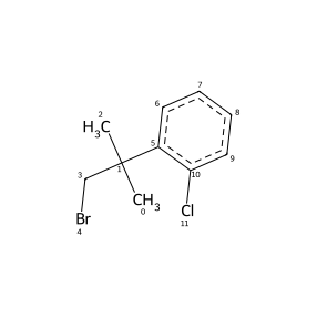 CC(C)(CBr)c1ccccc1Cl